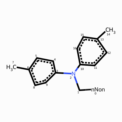 CCCCCCCCCCN(c1ccc(C)cc1)c1ccc(C)cc1